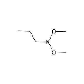 C=CCN(OC)OC